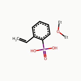 C=Cc1ccccc1P(=O)(O)O.CCOCC